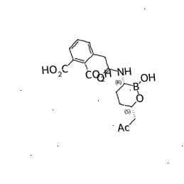 CC(=O)C[C@@H]1CC[C@H](NC(=O)Cc2cccc(C(=O)O)c2C(=O)O)B(O)O1